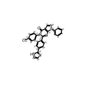 O=c1c2cnn(-c3ccccc3)c2nc(-c2ccc(-c3ncn[nH]3)cc2)n1-c1ccc(Cl)cc1